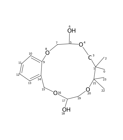 CC1(C)COC(O)COc2ccccc2COC(O)COC1(C)C